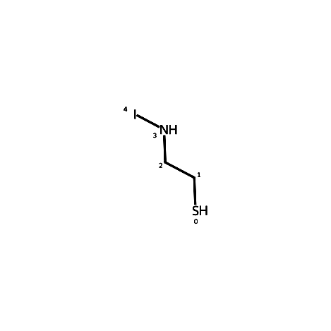 SCCNI